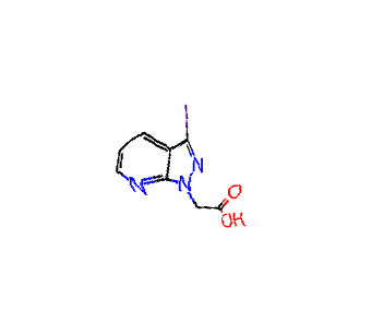 O=C(O)Cn1nc(I)c2cccnc21